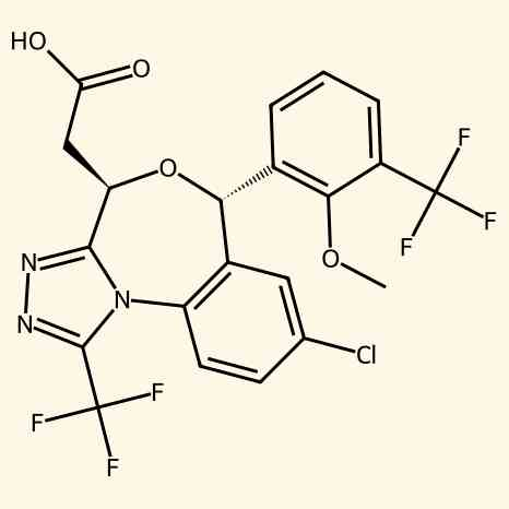 COc1c([C@H]2O[C@H](CC(=O)O)c3nnc(C(F)(F)F)n3-c3ccc(Cl)cc32)cccc1C(F)(F)F